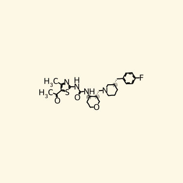 CC(=O)c1sc(NC(=O)N[C@@H]2CCOC[C@H]2CN2CCC[C@@H](Cc3ccc(F)cc3)C2)nc1C